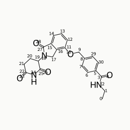 CCNC(=O)c1ccc(COc2cccc3c2CN(C2CCC(=O)NC2=O)C3=O)cc1